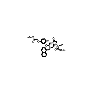 CNC(=O)N(C(C)C)N1CC(=O)N2[C@@H](Cc3ccc(OCC(=O)OC)cc3)C(=O)N(Cc3cccc4ccccc34)C[C@@H]21